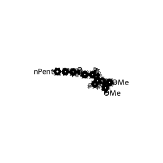 CCCCC[C@H]1CC[C@H](c2ccc(-c3ccc(C(=O)Nc4ccc(-c5cc(Br)c6c(c5)-c5c(c7c(c8c(F)cc(F)cc58)OC(c5ccc(OC)cc5)(c5ccc(OC)cc5)C=C7)C6(C)C)cc4)cc3)cc2)CC1